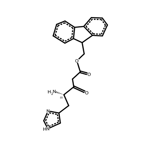 N[C@@H](Cc1c[nH]cn1)C(=O)CC(=O)OCC1c2ccccc2-c2ccccc21